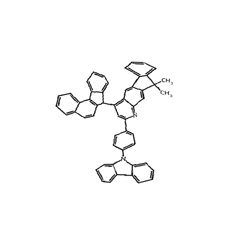 CC1(C)c2ccccc2-c2cc3c(C4c5ccccc5-c5c4ccc4ccccc54)cc(-c4ccc(-n5c6ccccc6c6ccccc65)cc4)nc3cc21